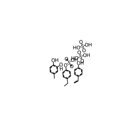 C=Cc1ccc(O)cc1.CCc1ccc(OS(=O)(=O)O)cc1.Cc1ccc(O)c(O)c1.O=S(=O)(O)O.O=S(=O)(O)O